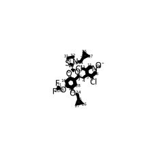 O=C(O[C@@H](Cc1c(Cl)c[n+]([O-])cc1Cl)c1ccc(OC(F)F)c(OCC2CC2)c1)[C@@H]1SCCN1CC1CC1